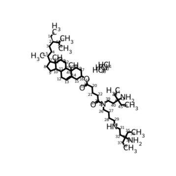 CC[C@H](CC[C@@H](C)C1CCC2C3CC=C4CC(OC(=O)CCCC(=O)N(CCCCNCCC(N)(CC)CC)CCC(N)(CC)CC)CCC4(C)C3CCC21C)C(C)C.Cl.Cl.Cl